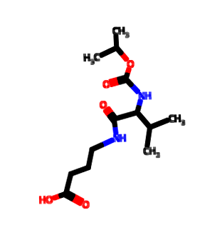 CC(C)OC(=O)NC(C(=O)NCCCC(=O)O)C(C)C